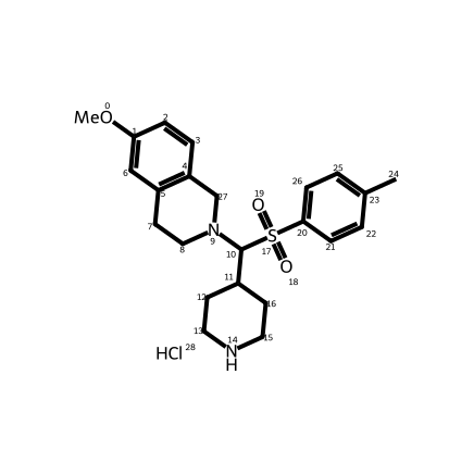 COc1ccc2c(c1)CCN(C(C1CCNCC1)S(=O)(=O)c1ccc(C)cc1)C2.Cl